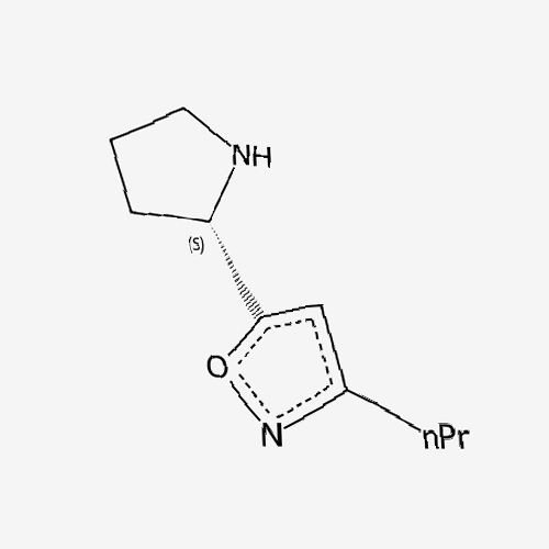 CCCc1cc([C@@H]2CCCN2)on1